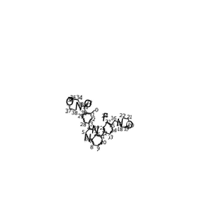 Cc1cc(-c2cnc3cccc(-c4ccc(CN5CCOCC5)c(F)c4)c3n2)ccc1C(=O)N1CCOCC1